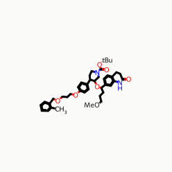 COCCCC(OC1CN(C(=O)OC(C)(C)C)CCC1c1ccc(OCCCOCc2ccccc2C)cc1)c1ccc2c(c1)NC(=O)CC2